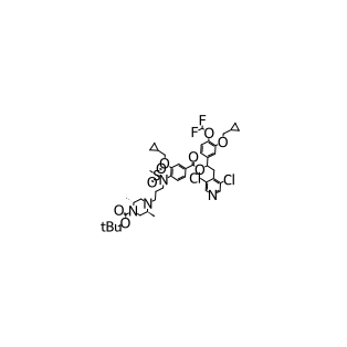 C[C@@H]1CN(CCCN(c2ccc(C(=O)OC(Cc3c(Cl)cncc3Cl)c3ccc(OC(F)F)c(OCC4CC4)c3)cc2OCC2CC2)S(C)(=O)=O)[C@@H](C)CN1C(=O)OC(C)(C)C